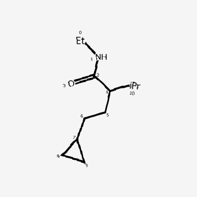 CCNC(=O)C(CCC1CC1)C(C)C